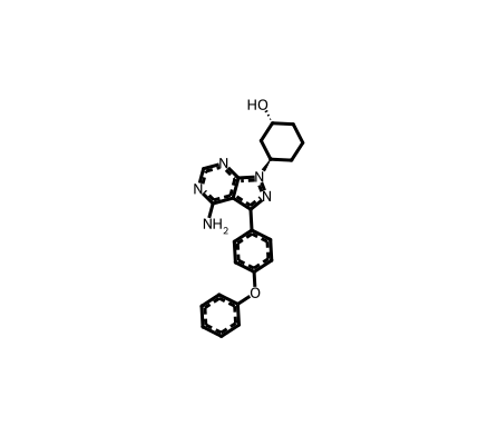 Nc1ncnc2c1c(-c1ccc(Oc3ccccc3)cc1)nn2[C@@H]1CCC[C@@H](O)C1